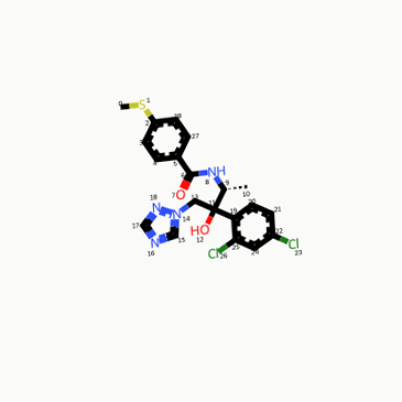 CSc1ccc(C(=O)N[C@H](C)C(O)(Cn2cncn2)c2ccc(Cl)cc2Cl)cc1